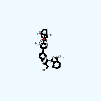 COC(=O)C1[C@@H]2CC[C@H]1CN(c1ncc(-c3ccc4nc(CO)c([C@@H]5O[C@@H](C)c6ccccc65)n4c3)cn1)C2